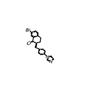 O=C1/C(=C/c2ccc(-n3ccnc3)cc2)CCc2ccc(Br)cc21